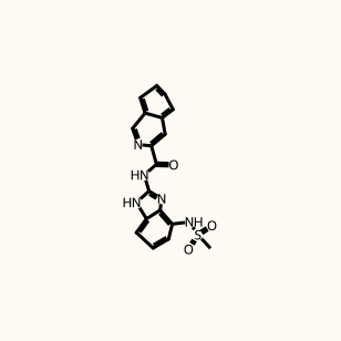 CS(=O)(=O)Nc1cccc2[nH]c(NC(=O)c3cc4ccccc4cn3)nc12